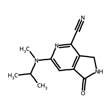 CC(C)N(C)c1cc2c(c(C#N)n1)CNC2=O